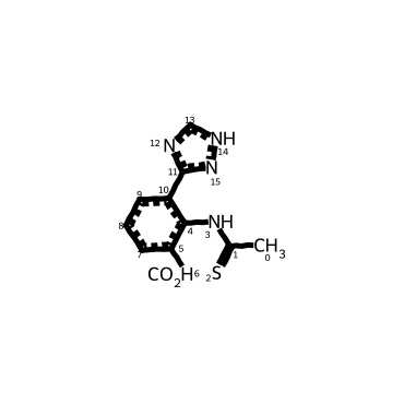 CC(=S)Nc1c(C(=O)O)cccc1-c1nc[nH]n1